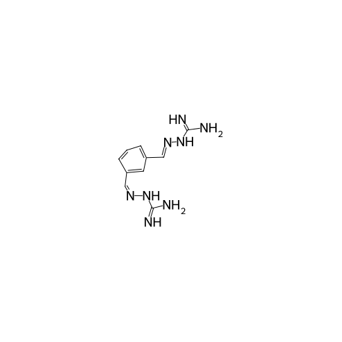 N=C(N)N/N=C\c1cccc(/C=N/NC(=N)N)c1